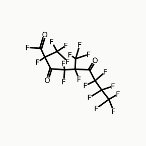 O=C(F)C(F)(C(=O)C(F)(F)C(F)(C(=O)C(F)(F)C(F)(F)C(F)(F)F)C(F)(F)F)C(F)(F)F